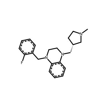 CN1CC[C@@H](CN2CCN(Cc3ccccc3F)c3ccccc32)C1